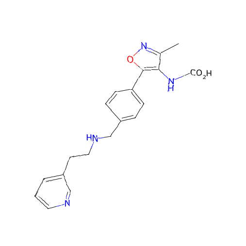 Cc1noc(-c2ccc(CNCCc3cccnc3)cc2)c1NC(=O)O